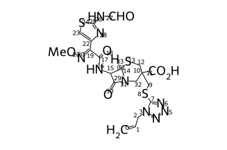 C=CCn1nnnc1SCC1(C(=O)O)CS[C@@H]2C(NC(=O)C(=NOC)c3csc(NC=O)n3)C(=O)N2C1